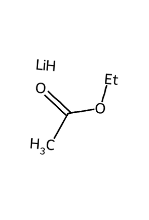 CCOC(C)=O.[LiH]